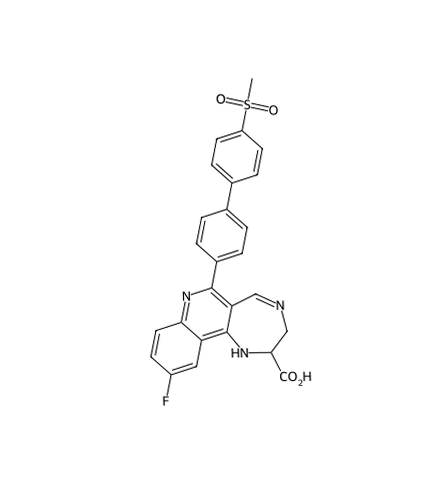 CS(=O)(=O)c1ccc(-c2ccc(-c3nc4ccc(F)cc4c4c3C=NCC(C(=O)O)N4)cc2)cc1